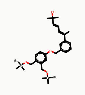 CC(=CC=CC(C)(C)O)c1cccc(COc2ccc(CO[Si](C)(C)C(C)(C)C)c(CO[Si](C)(C)C(C)(C)C)c2)c1